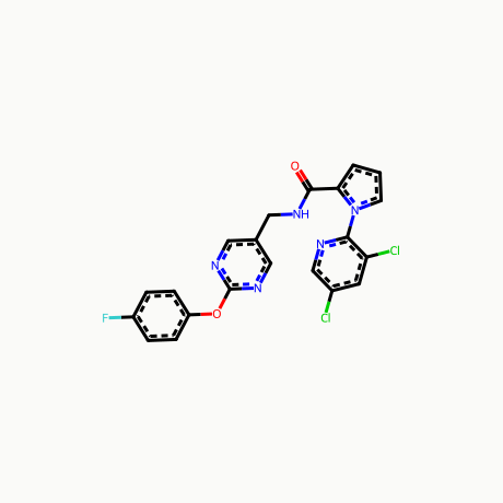 O=C(NCc1cnc(Oc2ccc(F)cc2)nc1)c1cccn1-c1ncc(Cl)cc1Cl